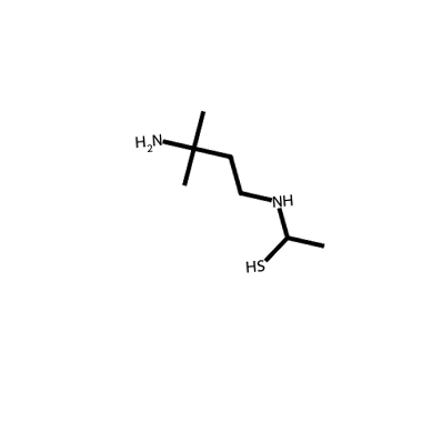 CC(S)NCCC(C)(C)N